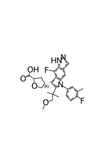 COCC(C)(C)c1c([C@@H]2COC(C(=O)O)C2)c2c(F)c3[nH]ncc3cc2n1-c1ccc(F)c(C)c1